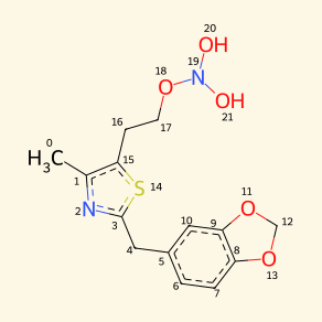 Cc1nc(Cc2ccc3c(c2)OCO3)sc1CCON(O)O